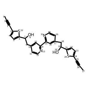 CC#Cc1ccc(C(O)Cc2ccnc(-c3cc(CC(O)c4ccc(C#CC)s4)ccn3)c2)s1